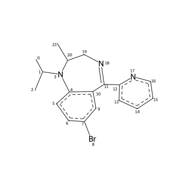 CC(C)N1c2ccc(Br)cc2C(c2ccccn2)=NCC1C